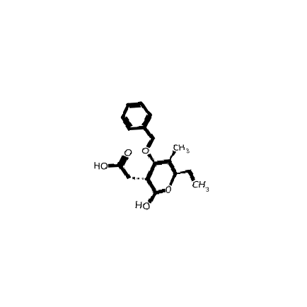 CC[C@H]1OC(O)[C@H](CC(=O)O)[C@@H](OCc2ccccc2)[C@H]1C